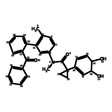 Cc1ccc(N(C)C(=O)C2(C3=CC(O)C(O)C=C3)CC2)cc1-c1ccccc1C(=O)c1ccccc1